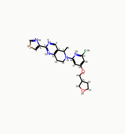 CC1c2cnc(-c3cscn3)nc2CCN1c1cc(OCC2CCOC2)cc(F)n1